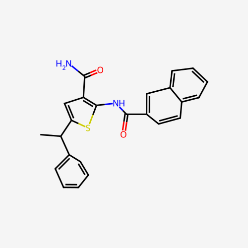 CC(c1ccccc1)c1cc(C(N)=O)c(NC(=O)c2ccc3ccccc3c2)s1